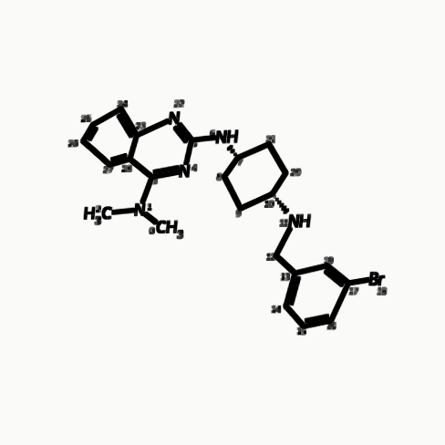 CN(C)c1nc(N[C@H]2CC[C@@H](NCc3cccc(Br)c3)CC2)nc2ccccc12